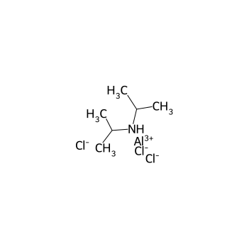 CC(C)NC(C)C.[Al+3].[Cl-].[Cl-].[Cl-]